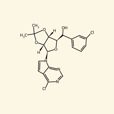 CC1(C)O[C@@H]2[C@H](O1)[C@@H](C(O)c1cccc(Cl)c1)O[C@H]2n1ccc2c(Cl)ncnc21